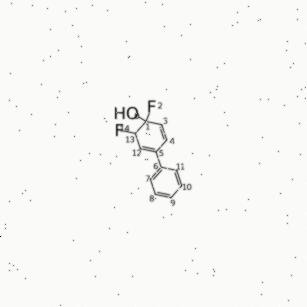 OC1(F)C=CC(c2ccccc2)=CC1F